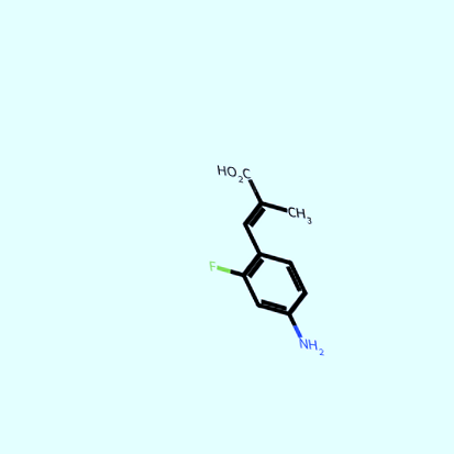 CC(=Cc1ccc(N)cc1F)C(=O)O